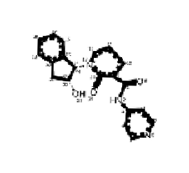 O=C(Nc1ccncc1)c1cccn([C@H]2c3ccccc3C[C@H]2O)c1=O